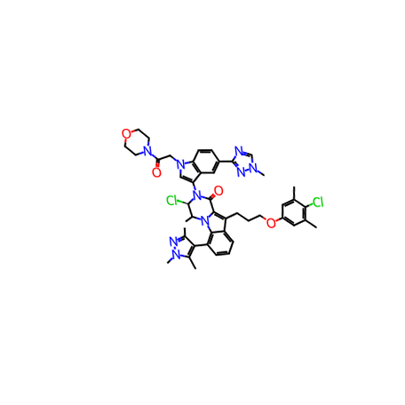 Cc1cc(OCCCc2c3n(c4c(-c5c(C)nn(C)c5C)cccc24)C(C)[C@@H](Cl)N(c2cn(CC(=O)N4CCOCC4)c4ccc(-c5ncn(C)n5)cc24)C3=O)cc(C)c1Cl